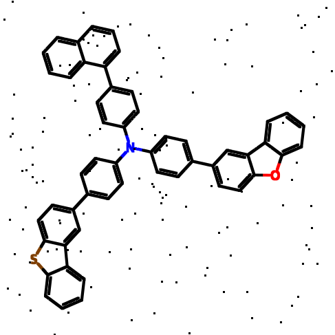 c1ccc2c(-c3ccc(N(c4ccc(-c5ccc6oc7ccccc7c6c5)cc4)c4ccc(-c5ccc6sc7ccccc7c6c5)cc4)cc3)cccc2c1